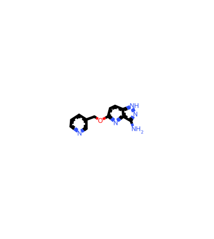 Nc1n[nH]c2ccc(OCc3cccnc3)nc12